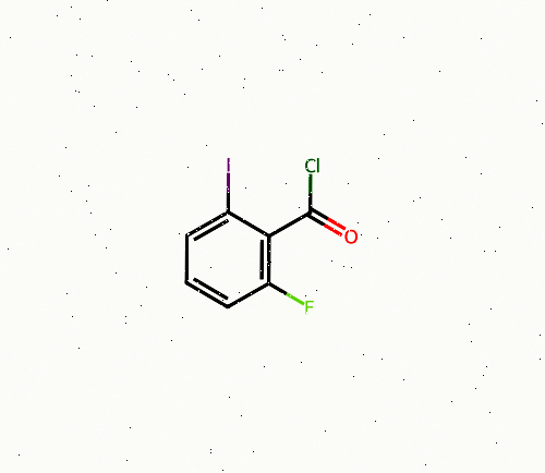 O=C(Cl)c1c(F)cccc1I